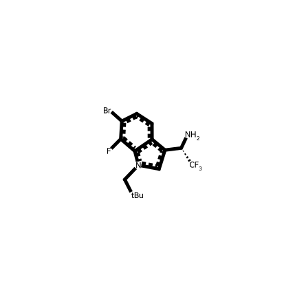 CC(C)(C)Cn1cc([C@H](N)C(F)(F)F)c2ccc(Br)c(F)c21